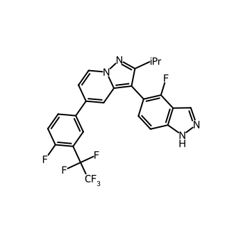 CC(C)c1nn2ccc(-c3ccc(F)c(C(F)(F)C(F)(F)F)c3)cc2c1-c1ccc2[nH]ncc2c1F